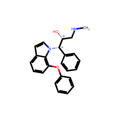 CNC[C@@H](O)[C@H](c1ccccc1)n1ccc2cccc(Oc3ccccc3)c21